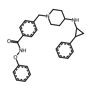 O=C(NOc1ccccc1)c1ccc(CN2CCC(NC3CC3c3ccccc3)CC2)cc1